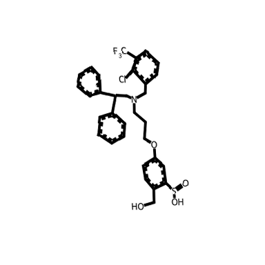 O=S(O)c1cc(OCCCN(Cc2cccc(C(F)(F)F)c2Cl)CC(c2ccccc2)c2ccccc2)ccc1CO